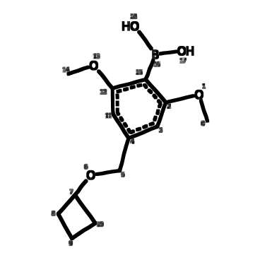 COc1cc(COC2CCC2)cc(OC)c1B(O)O